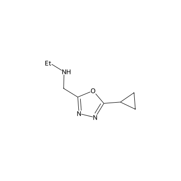 CCNCc1nnc(C2CC2)o1